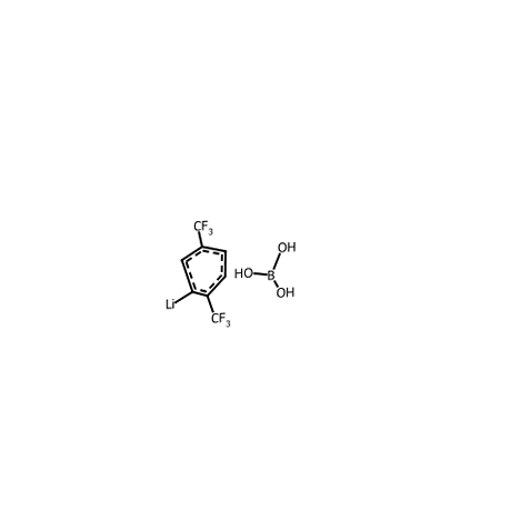 OB(O)O.[Li][c]1cc(C(F)(F)F)ccc1C(F)(F)F